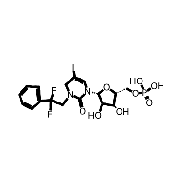 O=C1N(CC(F)(F)c2ccccc2)CC(I)=CN1[C@@H]1O[C@H](COP(=O)(O)O)[C@H](O)C1O